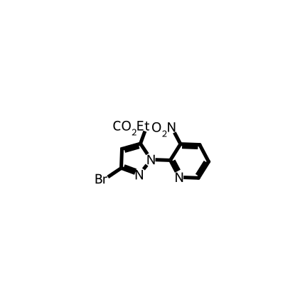 CCOC(=O)c1cc(Br)nn1-c1ncccc1[N+](=O)[O-]